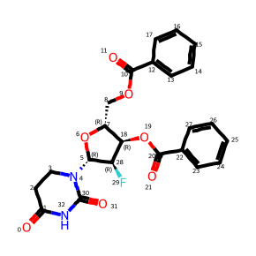 O=C1CCN([C@@H]2O[C@H](COC(=O)c3ccccc3)[C@@H](OC(=O)c3ccccc3)[C@H]2F)C(=O)N1